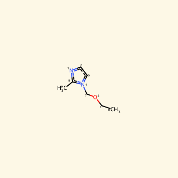 CCOCn1ccnc1C